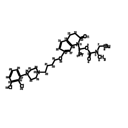 CC(C)C(OC(=O)N(C)CC(C)(C)C)N1C(=O)CCc2ccc(OCCCCN3CCN(c4cccc(Cl)c4Cl)CC3)cc21